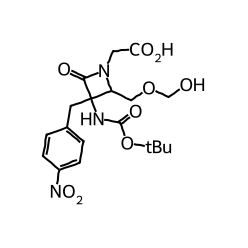 CC(C)(C)OC(=O)NC1(Cc2ccc([N+](=O)[O-])cc2)C(=O)N(CC(=O)O)C1COCO